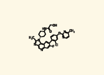 Cc1ccnc(Oc2ccc(-c3cc4c(cc3F)ncc3nc(C)n([C@H]5CC[C@H](NC(=O)CO)CC5)c34)c(Cl)c2)n1